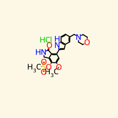 COc1cc(-c2cc3cc(CN4CCOCC4)ccc3[nH]2)c2c(c1OS(C)(=O)=O)CNC2=O.Cl